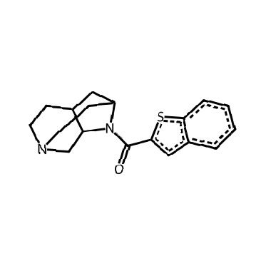 O=C(c1cc2ccccc2s1)N1C2CC3CCN(C2)CC31